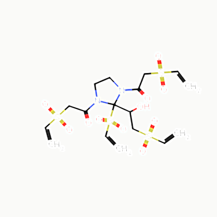 C=CS(=O)(=O)CC(=O)N1CCN(C(=O)CS(=O)(=O)C=C)C1(C(O)CS(=O)(=O)C=C)S(=O)(=O)C=C